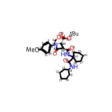 COc1ccc([N@@+]2(CO)C(=O)[C@H](C(=O)NC3(C(=O)NC4CCCCC4)CCCCC3)[C@H]2C(=O)OC(C)(C)C)cc1